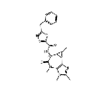 Cc1nc2c(n1C)N(C)C(=O)[C@@H](NC(=O)c1nnc(Cc3ccccc3)o1)C1C(C)C21